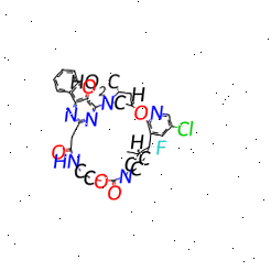 C[C@H]1CN2CC[C@]1(F)c1cc(Cl)cnc1O[C@H]1C[C@@H](C(=O)O)N(C1)c1nc(nc3c1oc1ccccc13)CC(=O)NCCOC2=O